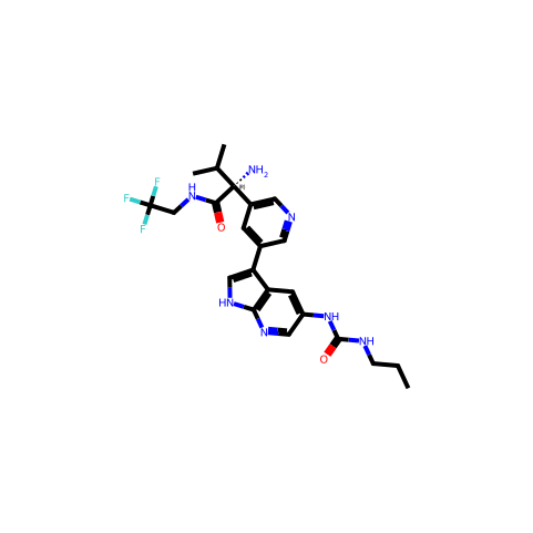 CCCNC(=O)Nc1cnc2[nH]cc(-c3cncc([C@@](N)(C(=O)NCC(F)(F)F)C(C)C)c3)c2c1